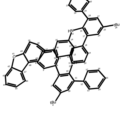 CC(C)(C)c1cc(-c2ccccc2)c(Nc2cc(Nc3c(-c4ccccc4)cc(C(C)(C)C)cc3-c3ccccc3)cc(-c3ccc4oc5ccccc5c4c3)c2)c(-c2ccccc2)c1